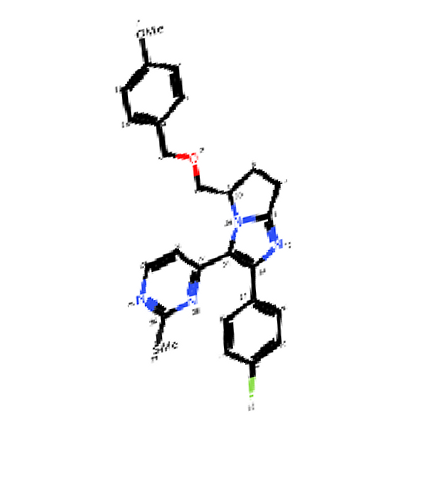 COc1ccc(COC[C@H]2CCc3nc(-c4ccc(F)cc4)c(-c4ccnc(SC)n4)n32)cc1